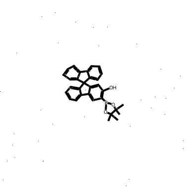 CC1(C)OB(c2cc3c(cc2O)C2(c4ccccc4-c4ccccc42)c2ccccc2-3)OC1(C)C